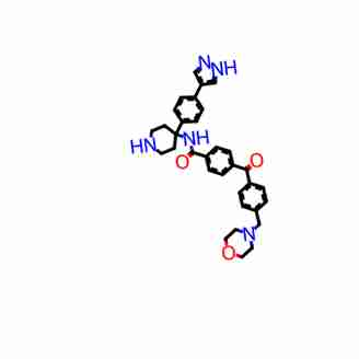 O=C(NC1(c2ccc(-c3cn[nH]c3)cc2)CCNCC1)c1ccc(C(=O)c2ccc(CN3CCOCC3)cc2)cc1